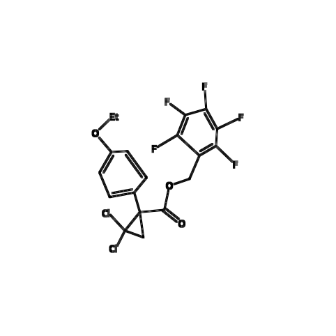 CCOc1ccc(C2(C(=O)OCc3c(F)c(F)c(F)c(F)c3F)CC2(Cl)Cl)cc1